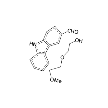 COCCOCCO.O=Cc1ccc2[nH]c3ccccc3c2c1